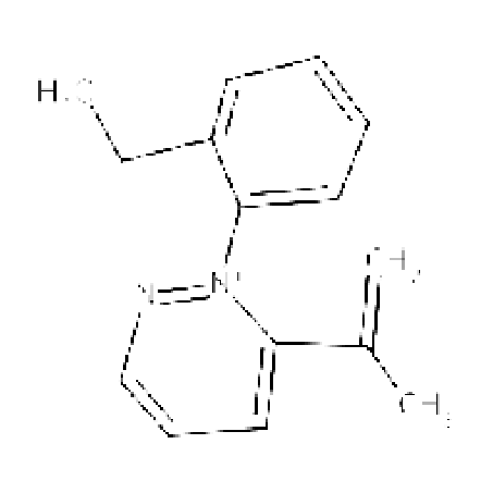 C=C(C)c1cccn[n+]1-c1ccccc1CC